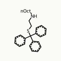 CCCCCCCCNCCSC(c1ccccc1)(c1ccccc1)c1ccccc1